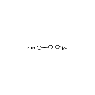 CCCCCCCCC1CCC(C#Cc2ccc(-c3ccc(OCCC)cc3)cc2)CC1